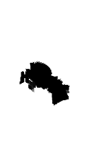 CN(C(=O)[C@@H](N)C1CCC(COCc2ccccc2F)CC1)C1CCC1